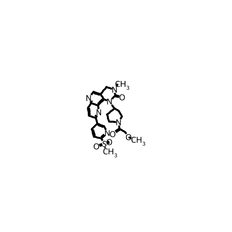 COCC(=O)N1CCC(N2C(=O)N(C)Cc3cnc4ccc(-c5ccc(S(C)(=O)=O)nc5)nc4c32)CC1